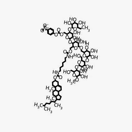 CCC1OC(OC2C(COC(=O)Oc3ccc([N+](=O)[O-])cc3)OC(OC3C(COC(=O)NCCCCCCNC(=O)OC4CCC5(C)C(=CCC6C5CCC5(C)C(C(C)CCCC(C)C)CCC65)C4)OC(OCC4OC(OC5C(CO)OC(OC6C(CO)OC(OC)C(O)C6O)C(O)C5O)C(O)C(O)C4O)C(O)C3O)C(O)C2O)C(O)C(O)C1O